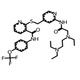 CCN(CC)CCN(CC)CC(=O)Nc1cc(CSc2ncccc2C(=O)Nc2ccc(OC(F)(F)F)cc2)ccn1